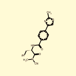 Cc1nc(-c2ccc(C(=O)N[C@@H](CC(C)C)C(=O)N(C)C#N)cc2)cs1